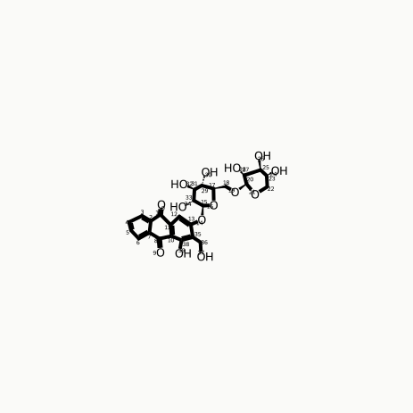 O=C1c2ccccc2C(=O)c2c1cc(O[C@@H]1O[C@H](CO[C@@H]3OC[C@@H](O)[C@H](O)[C@H]3O)[C@@H](O)[C@H](O)[C@H]1O)c(CO)c2O